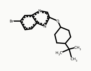 CC(C)(C)C1CCC(Oc2cnc3cc(Br)ccc3n2)CC1